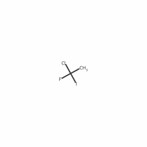 CC(F)(Cl)I